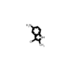 Cc1[nH]c2ccc(N)cc2c1Cl